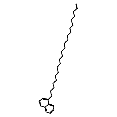 CCCCCCCCCCCCCCCCCCCCCCCCc1cccc2ccccc12